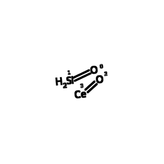 O=[SiH2].[O]=[Ce]